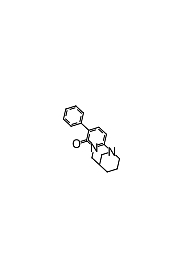 O=c1c(-c2ccccc2)ccc2n1CC1CCCN2C1